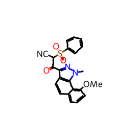 COc1cccc2ccc3c(C(=O)C(C#N)S(=O)(=O)c4ccccc4)nn(C)c3c12